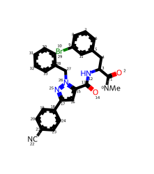 CNC(=O)C(Cc1cccc(Br)c1)NC(=O)c1cc(-c2ccc(C#N)cc2)nn1Cc1ccccc1